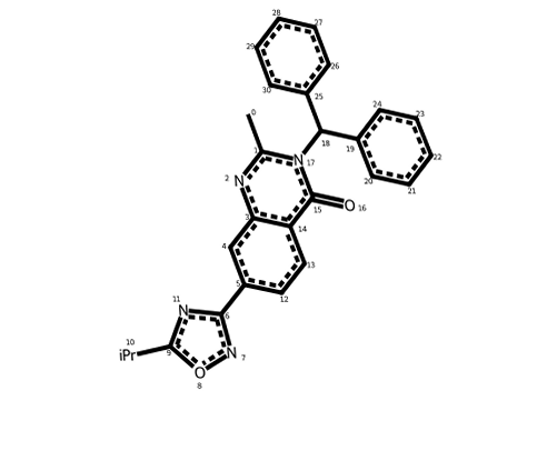 Cc1nc2cc(-c3noc(C(C)C)n3)ccc2c(=O)n1C(c1ccccc1)c1ccccc1